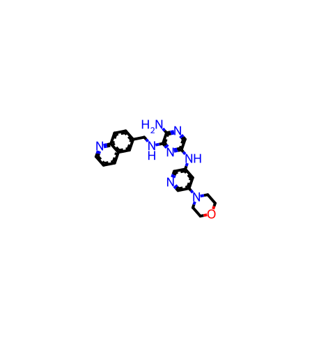 Nc1ncc(Nc2cncc(N3CCOCC3)c2)nc1NCc1ccc2ncccc2c1